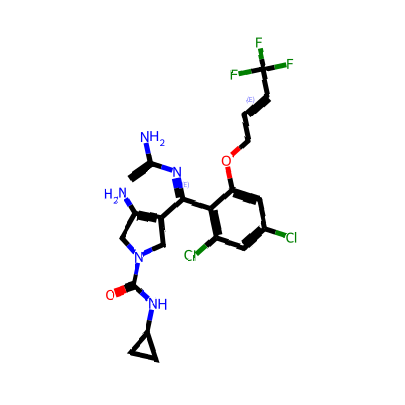 C=C(N)/N=C(\C1=C(N)CN(C(=O)NC2CC2)C1)c1c(Cl)cc(Cl)cc1OC/C=C/C(F)(F)F